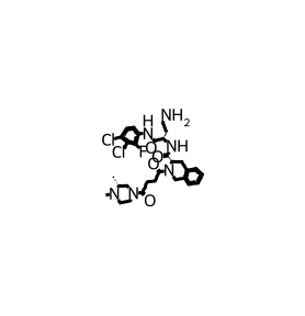 C[C@@H]1CN(C(=O)CCC(=O)N2Cc3ccccc3C[C@H]2C(=O)N[C@@H](CCN)C(=O)Nc2ccc(Cl)c(Cl)c2F)CCN1C